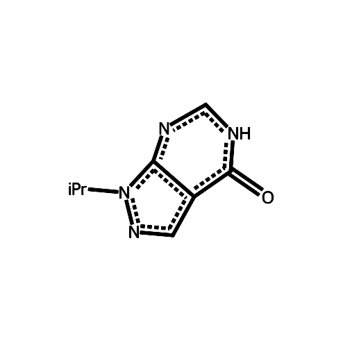 CC(C)n1ncc2c(=O)[nH]cnc21